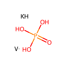 O=P(O)(O)O.[KH].[V]